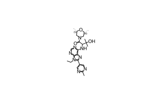 CCn1c(-c2cnc(C)nc2)nc2c(NC(C(=O)N3C[C@@H](C)O[C@@H](C)C3)C(C)(C)O)ncnc21